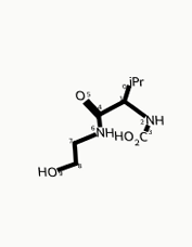 CC(C)C(NC(=O)O)C(=O)NCCO